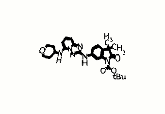 CC(C)(C)OC(=O)N1C(=O)C(C)(C)c2ccc(Nc3nc4cccc(NC5CCOCC5)n4n3)cc21